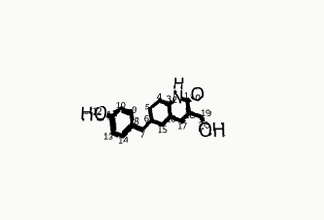 O=C1NC2CCC(Cc3ccc(O)cc3)CC2CC1CO